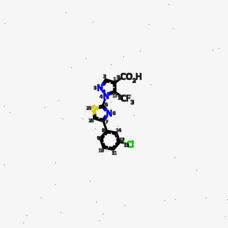 O=C(O)c1cnn(-c2nc(-c3cccc(Cl)c3)cs2)c1C(F)(F)F